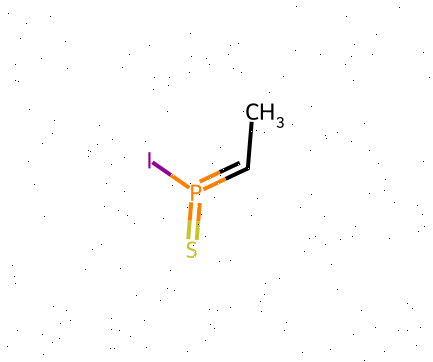 CC=P(=S)I